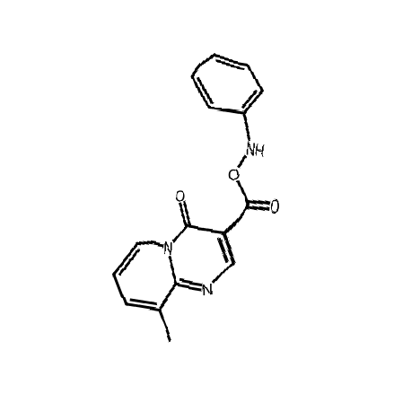 Cc1cccn2c(=O)c(C(=O)ONc3ccccc3)cnc12